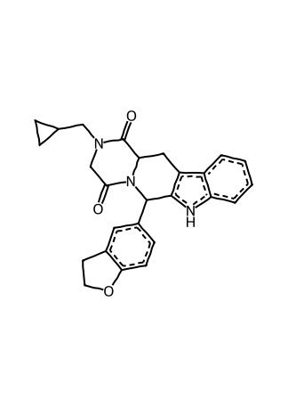 O=C1C2Cc3c([nH]c4ccccc34)C(c3ccc4c(c3)CCO4)N2C(=O)CN1CC1CC1